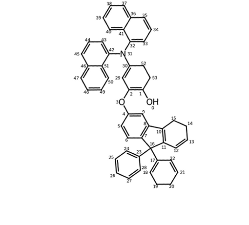 OC1=C(Oc2ccc3c(c2)C2=C(C=CCC2)C3(C2=CCCC=C2)c2ccccc2)C=C(N(c2cccc3ccccc23)c2cccc3ccccc23)CC1